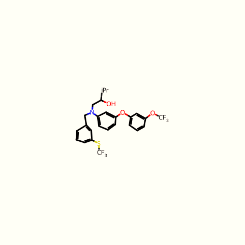 CC(C)C(O)CN(Cc1cccc(SC(F)(F)F)c1)c1cccc(Oc2cccc(OC(F)(F)F)c2)c1